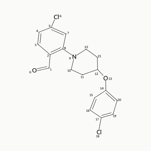 O=Cc1ccc(Cl)cc1N1CCC(Oc2ccc(Cl)cc2)CC1